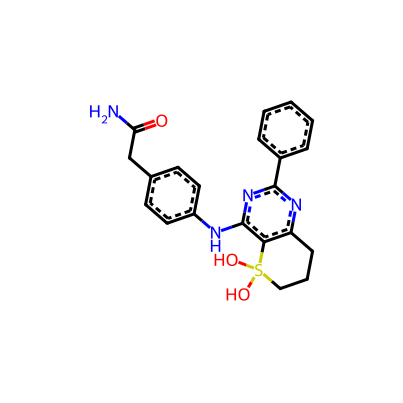 NC(=O)Cc1ccc(Nc2nc(-c3ccccc3)nc3c2S(O)(O)CCC3)cc1